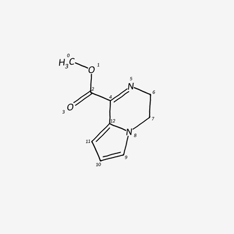 COC(=O)C1=NCCn2cccc21